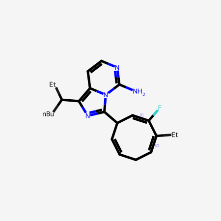 CCCCC(CC)c1nc(C2C=CC/C=C(CC)\C(F)=C/2)n2c(N)nccc12